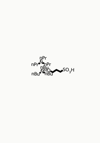 CCCCN(CCCC)CCCC.CCCN(CCC)CCC.O=S(=O)(O)CCCO